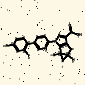 O=C(O)c1nn(-c2ccc(-c3ccc(F)cc3F)cn2)c2c1C[C@@H]1C[C@H]21